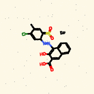 CC1=CC(=S(=O)=O)C(N=Nc2c(O)c(C(=O)O)cc3ccccc23)C=C1Cl.[Ba]